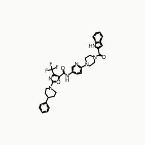 O=C(Nc1ccc(N2CCN(C(=O)c3cc4ccccc4[nH]3)CC2)nc1)c1oc(N2CCC(c3ccccc3)CC2)nc1C(F)(F)F